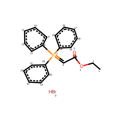 Br.CCOC(=O)C=P(c1ccccc1)(c1ccccc1)c1ccccc1